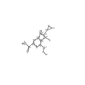 CCOc1cc(C(=O)O)cc2[nH]c(C3CC3)c(C)c12